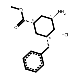 COC(=O)[C@@H]1C[C@H](N)C[C@H](Cc2ccccc2)C1.Cl